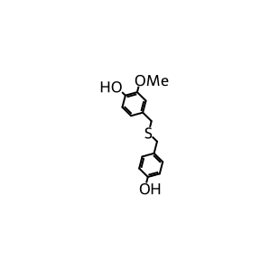 COc1cc(CSCc2ccc(O)cc2)ccc1O